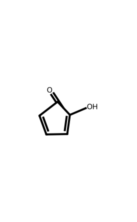 O=C1C=CC=C1O